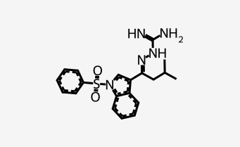 CC(C)C/C(=N\NC(=N)N)c1cn(S(=O)(=O)c2ccccc2)c2ccccc12